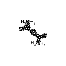 CC(C)c1ccc(N(C2=CCC(c3cc4ccc5cc(C6=CC=C(N(c7ccc(C(C)C)cc7)c7ccc(C8CCCCC8)cc7)CC6)cc6ccc(c3)c4c56)C=C2)c2ccc(C3CCCCC3)cc2)cc1